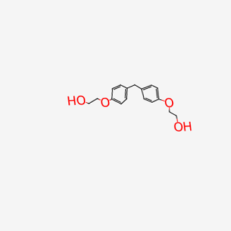 OCCOc1ccc(Cc2ccc(OCCO)cc2)cc1